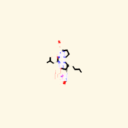 CCCC[C@H]1CN([C@@H](CC(C)C)C(=O)N2CCC[C@H]2COC)C(=O)[C@@H]1CN(O)C=O